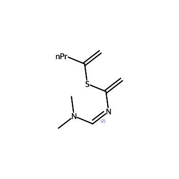 C=C(CCC)SC(=C)/N=C\N(C)C